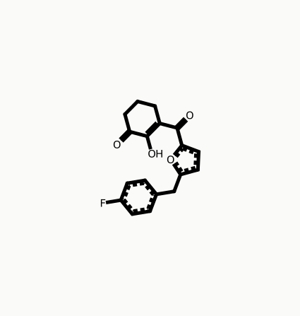 O=C1CCCC(C(=O)c2ccc(Cc3ccc(F)cc3)o2)=C1O